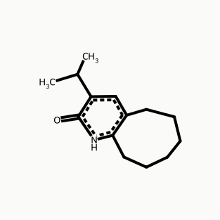 CC(C)c1cc2c([nH]c1=O)CCCCCC2